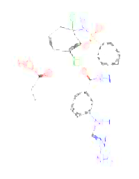 CCC(=O)O.NN=CNc1cccc(C(=O)Nc2cccc(S(=O)(=O)NC3(Cl)C=C(Cl)C=CC3)c2)c1